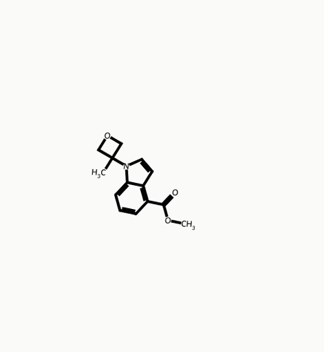 COC(=O)c1cccc2c1ccn2C1(C)COC1